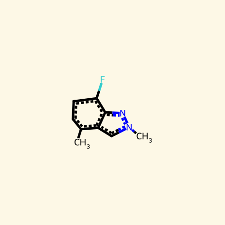 Cc1ccc(F)c2nn(C)cc12